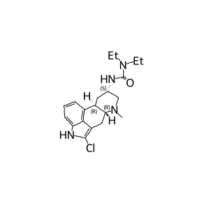 CCN(CC)C(=O)N[C@H]1C[C@@H]2c3cccc4[nH]c(Cl)c(c34)C[C@H]2N(C)C1